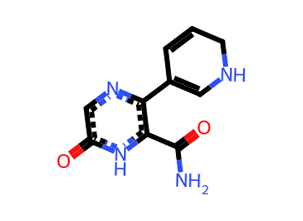 NC(=O)c1[nH]c(=O)cnc1C1=CNCC=C1